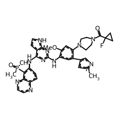 COc1cc(N2CCN(C(=O)C3(F)CC3)CC2)c(-c2cnn(C)c2)cc1Nc1nc(Nc2ccc3nccnc3c2P(C)(C)=O)c2cc[nH]c2n1